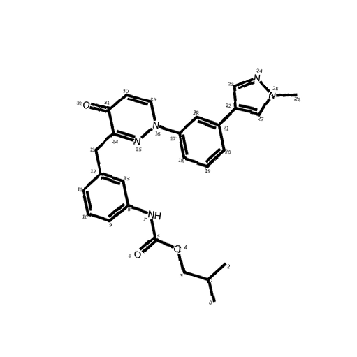 CC(C)COC(=O)Nc1cccc(Cc2nn(-c3cccc(-c4cnn(C)c4)c3)ccc2=O)c1